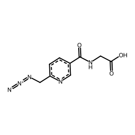 [N-]=[N+]=NCc1ccc(C(=O)NCC(=O)O)cn1